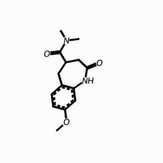 COc1ccc2c(c1)NC(=O)CC(C(=O)N(C)C)C2